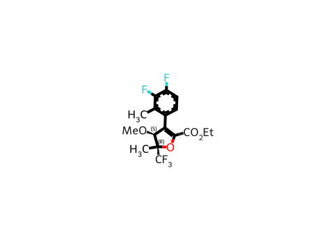 CCOC(=O)C1=C(c2ccc(F)c(F)c2C)[C@H](OC)[C@](C)(C(F)(F)F)O1